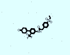 CCS(=O)(=O)c1ccc(CC(=O)Nc2ccc(C3=CCC(=O)CC3)c(C(F)(F)F)c2)cc1